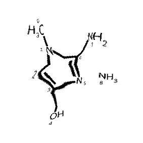 Cn1cc(O)nc1N.N